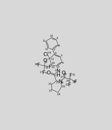 O=C(NC1=CC=C(c2ccccc2)C(Cl)(OC(F)(F)F)C1)C1CCCCN1C(=O)C(F)(F)F